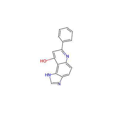 Oc1cc(-c2ccccc2)nc2ccc3nc[nH]c3c12